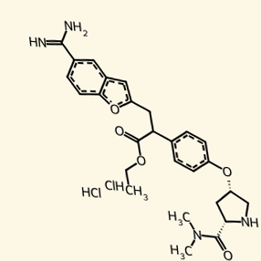 CCOC(=O)C(Cc1cc2cc(C(=N)N)ccc2o1)c1ccc(O[C@@H]2CN[C@H](C(=O)N(C)C)C2)cc1.Cl.Cl